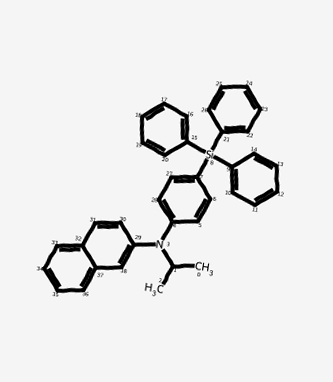 CC(C)N(c1ccc([Si](c2ccccc2)(c2ccccc2)c2ccccc2)cc1)c1ccc2ccccc2c1